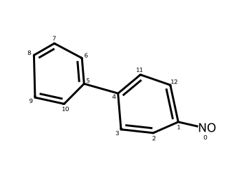 O=Nc1ccc(-c2ccccc2)cc1